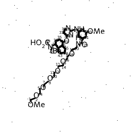 COCCOCCOCCOCCOCCOCCOCCNC(=O)c1cc(Nc2nccc(Oc3ccc(N(C(=O)O)C(C)(C)C)c4ccccc34)n2)cc(OC)c1